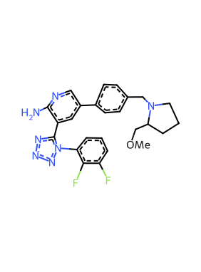 COCC1CCCN1Cc1ccc(-c2cnc(N)c(-c3nnnn3-c3cccc(F)c3F)c2)cc1